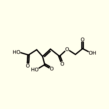 O=C(O)COC(=O)C=C(CC(=O)O)C(=O)O